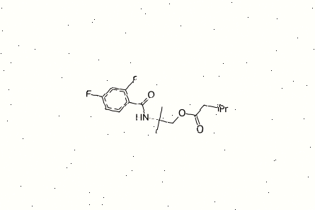 CC(C)CC(=O)OCC(C)(C)NC(=O)c1ccc(F)cc1F